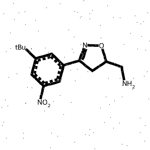 CC(C)(C)c1cc(C2=NOC(CN)C2)cc([N+](=O)[O-])c1